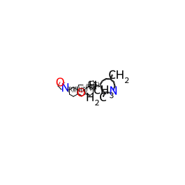 C=c1ccncc(=C)cc([C@H]2CC[C@@H]3[C@]2(C)CC=C2C=C4CC[C@@H](N5CCOC5)C[C@]45CC[C@@]23O5)cc1